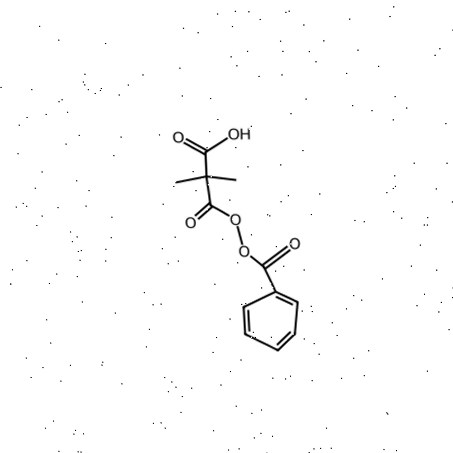 CC(C)(C(=O)O)C(=O)OOC(=O)c1ccccc1